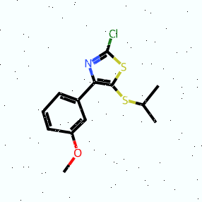 COc1cccc(-c2nc(Cl)sc2SC(C)C)c1